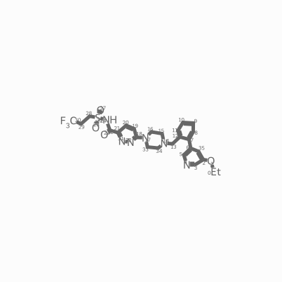 CCOc1cncc(-c2ccccc2CN2CCN(c3ccc(C(=O)NS(=O)(=O)CCC(F)(F)F)nn3)CC2)c1